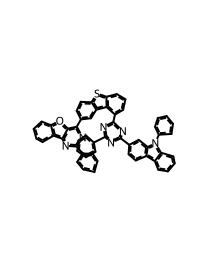 c1ccc(-c2nc(-c3ccc4c5ccccc5n(-c5ccccc5)c4c3)nc(-c3cccc4sc5ccc(-c6nc(-c7ccccc7)nc7c6oc6ccccc67)cc5c34)n2)cc1